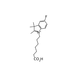 CC1=[N+](CCCCCCC(=O)O)c2ccc(F)cc2C1(C)C